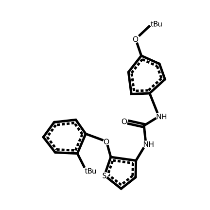 CC(C)(C)Oc1ccc(NC(=O)Nc2ccsc2Oc2ccccc2C(C)(C)C)cc1